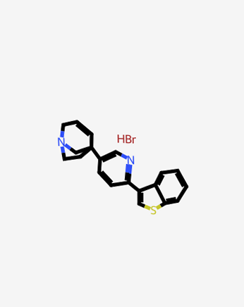 Br.C1=CC2(c3ccc(-c4csc5ccccc45)nc3)CCN(C1)C2